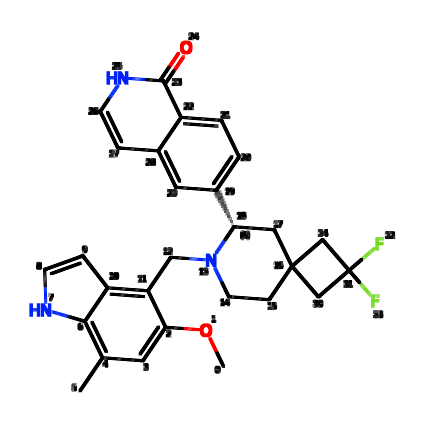 COc1cc(C)c2[nH]ccc2c1CN1CCC2(C[C@H]1c1ccc3c(=O)[nH]ccc3c1)CC(F)(F)C2